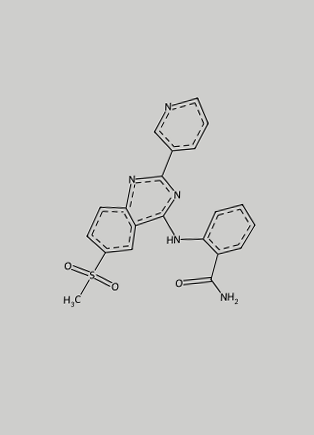 CS(=O)(=O)c1ccc2nc(-c3cccnc3)nc(Nc3ccccc3C(N)=O)c2c1